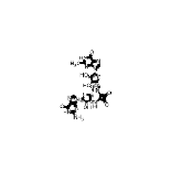 Cc1nc2c(ncn2[C@@H]2O[C@H](CNc3c(N[C@H]4[C@@H](O)[C@H](n5cnc6c(=O)[nH]c(N)nc65)O[C@@H]4CO)c(=O)c3=O)[C@@H](O)[C@H]2O)c(=O)[nH]1